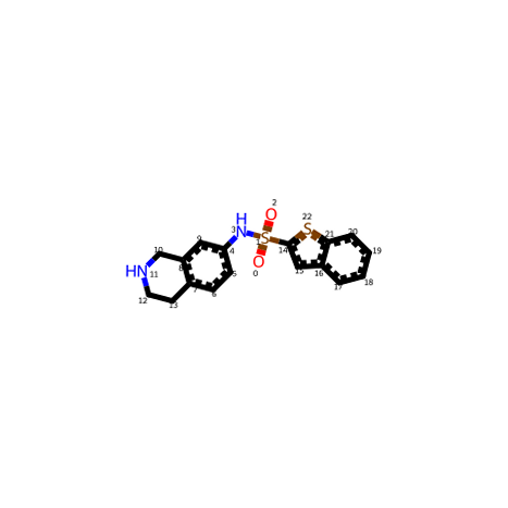 O=S(=O)(Nc1ccc2c(c1)CNCC2)c1cc2ccccc2s1